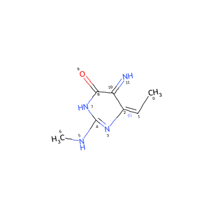 C/C=C1/N=C(NC)NC(=O)C1=N